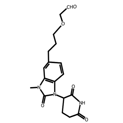 Cn1c(=O)n(C2CCC(=O)NC2=O)c2ccc(CCCOCC=O)cc21